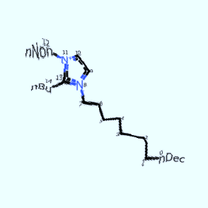 CCCCCCCCCCCCCCCCCn1cc[n+](CCCCCCCCC)c1CCCC